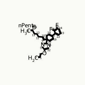 C=CCOc1cnc(C2(C=CCCCC(C)OCCCCC)C=CC(c3cccc(F)c3F)=CC2)nc1